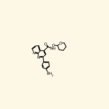 Bc1ccc(-c2cc(C(=O)NOC3CCCCO3)c3cccnc3n2)cc1